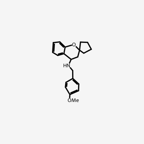 COc1ccc(CNC2CC3(CCCC3)Oc3ccccc32)cc1